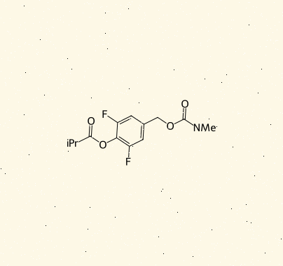 CNC(=O)OCc1cc(F)c(OC(=O)C(C)C)c(F)c1